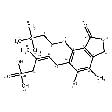 CCc1c(C)c2c(c(OCC[Si](C)(C)C)c1CC=C(C)CP(=O)(O)O)C(=O)OC2